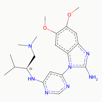 COc1cc2nc(N)n(-c3cc(N[C@H](CN(C)C)C(C)C)ncn3)c2cc1OC